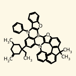 C=C1CC(C)CC(CC)(c2cc3c4c(c2)N(c2ccccc2)c2c(oc5ccc6c(c25)-c2ccccc2C6(C)C)B4c2oc4ccccc4c2N3c2ccccc2)C1